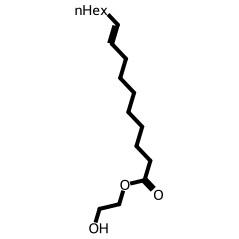 CCCCCCC=CCCCCCCCC(=O)OCCO